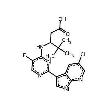 CC(C)(C)C(CC(=O)O)Nc1nc(-c2c[nH]c3ncc(Cl)cc23)ncc1F